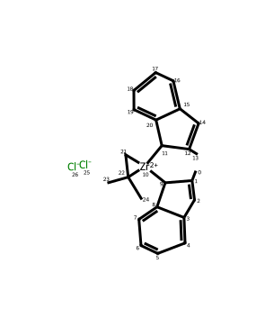 CC1=Cc2ccccc2[CH]1[Zr+2]1([CH]2C(C)=Cc3ccccc32)[CH2][C]1(C)C.[Cl-].[Cl-]